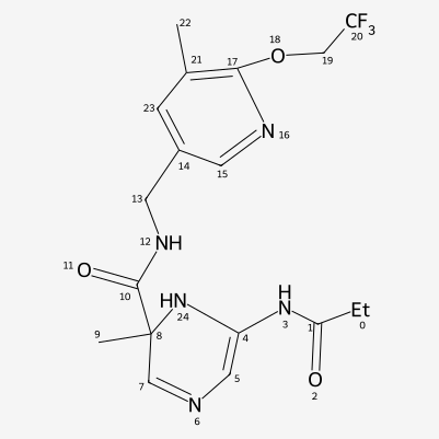 CCC(=O)NC1=CN=CC(C)(C(=O)NCc2cnc(OCC(F)(F)F)c(C)c2)N1